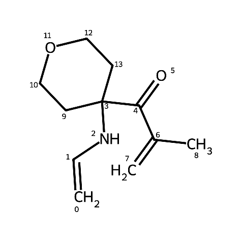 C=CNC1(C(=O)C(=C)C)CCOCC1